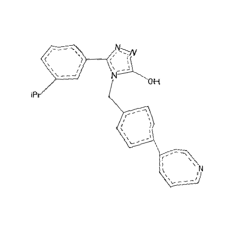 CC(C)c1cccc(-c2nnc(O)n2Cc2ccc(-c3cccnc3)cc2)c1